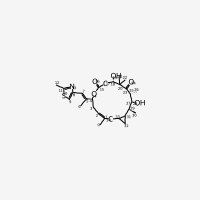 C/C1=C/C[C@@H](/C(C)=C/c2csc(C)n2)OC(=O)C[C@H](O)C(C)(C)C(=O)[C@H](C)[C@@H](O)[C@@H](C)C2CC2C1